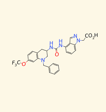 O=C(O)Cn1ncc2c(NC(=O)NC3Cc4ccc(OC(F)(F)F)cc4N(Cc4ccccc4)C3)cccc21